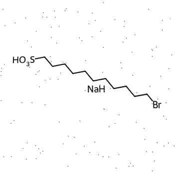 O=S(=O)(O)CCCCCCCCCCCBr.[NaH]